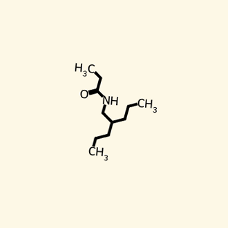 CCCC(CCC)CNC(=O)CC